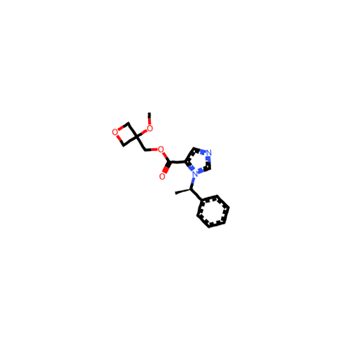 COC1(COC(=O)c2cncn2[C@H](C)c2ccccc2)COC1